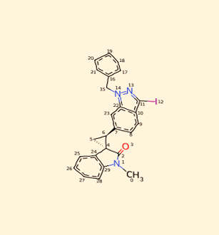 CN1C(=O)[C@@]2(C[C@H]2c2ccc3c(I)nn(Cc4ccccc4)c3c2)c2ccccc21